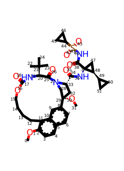 COc1ccc2ccc3cc2c1CCCCOC(=O)N[C@@H](C(C)(C)C)C(=O)N1C[C@@]3(OC)C[C@H]1C(=O)N[C@]1(C(=O)NS(=O)(=O)C2CC2)C[C@H]1C1CC1